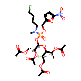 CC(=O)OC[C@H](F)C(O[C@H](OP(=O)(OCc1ccc([N+](=O)[O-])o1)N(C)CCCCCl)[C@@H](COC(C)=O)OC(C)=O)[C@H](C)OC(C)=O